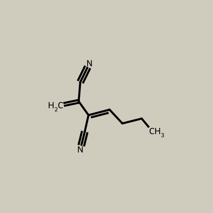 C=C(C#N)C(C#N)=CCCC